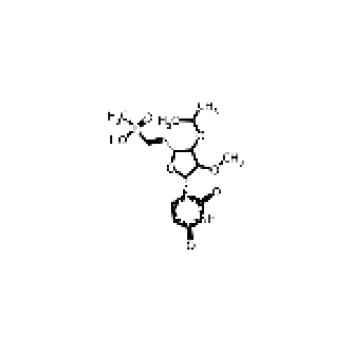 COC1C(OC(C)C)[C@@H](/C=C/P(C)(=O)O)O[C@H]1n1ccc(=O)[nH]c1=O